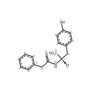 CC[C@@](Cc1ccc(O)cc1)(NC(=O)Cc1ccccc1)C(=O)O